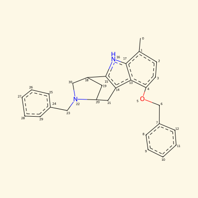 Cc1ccc(OCc2ccccc2)c2c3c([nH]c12)C1CC(C3)N(Cc2ccccc2)C1